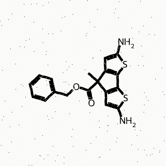 CC1(C(=O)OCc2ccccc2)c2cc(N)sc2-c2sc(N)cc21